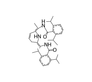 CC(NC(=O)c1c(C(C)C)cccc1C(C)C)=C1C=CCC(=C(C)NC(=O)c2c(C(C)C)cccc2C(C)C)N1